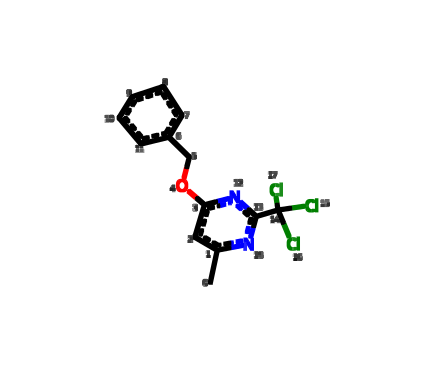 Cc1cc(OCc2ccccc2)nc(C(Cl)(Cl)Cl)n1